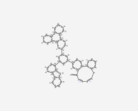 C=C1/C=C\C=C/Cc2ccccc2-c2ccc(-c3cc(-c4ccc5c6ccccc6c6ccccc6c5c4)cc(-c4cccc5c4sc4ccccc45)c3)cc21